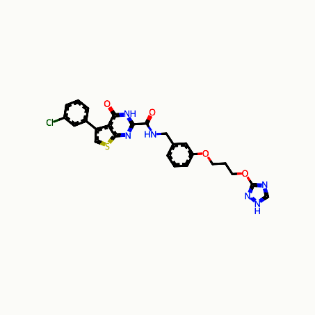 O=C(NCc1cccc(OCCCOc2nc[nH]n2)c1)c1nc2scc(-c3cccc(Cl)c3)c2c(=O)[nH]1